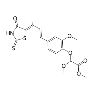 COC(=O)C(OC)Oc1ccc(C=CC(C)=C2SC(=S)NC2=O)cc1OC